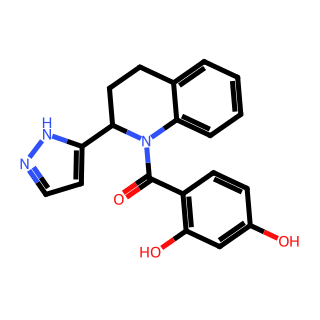 O=C(c1ccc(O)cc1O)N1c2ccccc2CCC1c1ccn[nH]1